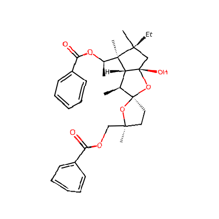 CC[C@@]1(C)C[C@]2(O)O[C@]3(CC[C@@](C)(COC(=O)c4ccccc4)O3)[C@@H](C)[C@@H]2[C@@]1(C)[C@@H](C)OC(=O)c1ccccc1